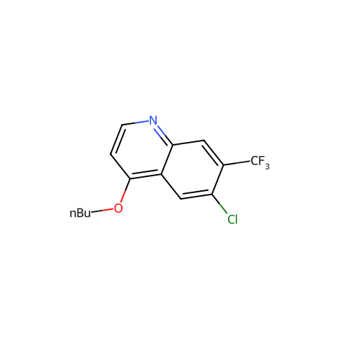 CCCCOc1ccnc2cc(C(F)(F)F)c(Cl)cc12